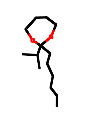 CCCCCCC1(C(C)C)OCCCCO1